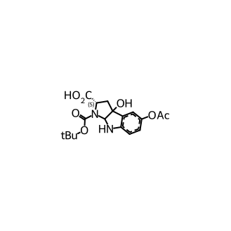 CC(=O)Oc1ccc2c(c1)C1(O)C[C@@H](C(=O)O)N(C(=O)OC(C)(C)C)C1N2